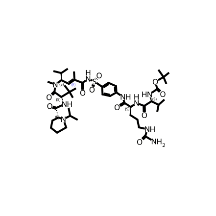 C/C(=C\[C@H](C(C)C)N(C)C(=O)[C@@H](NC(=O)[C@H]1CCCCN1C(C)C)C(C)(C)C)C(=O)NS(=O)(=O)c1ccc(NC(=O)[C@H](CCCNC(N)=O)NC(=O)[C@@H](NC(=O)OC(C)(C)C)C(C)C)cc1